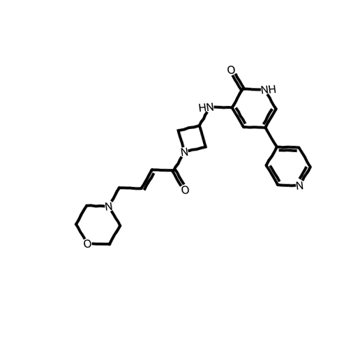 O=C(C=CCN1CCOCC1)N1CC(Nc2cc(-c3ccncc3)c[nH]c2=O)C1